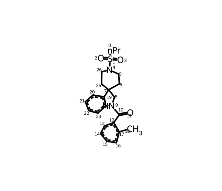 CCCS(=O)(=O)N1CCC(CNC(=O)c2ccccc2C)(c2ccccc2)CC1